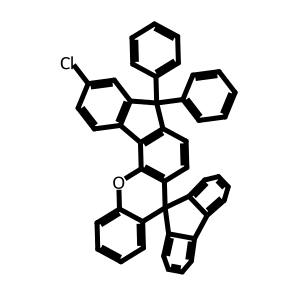 Clc1ccc2c(c1)C(c1ccccc1)(c1ccccc1)c1ccc3c(c1-2)Oc1ccccc1C31c2ccccc2-c2ccccc21